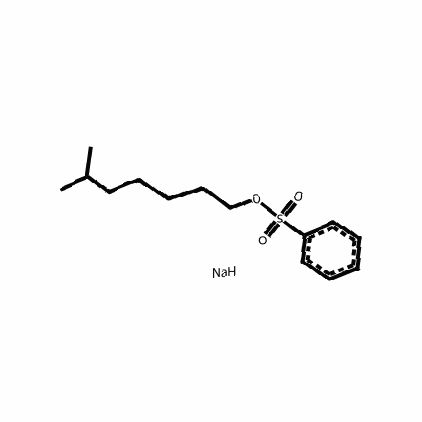 CC(C)CCCCCOS(=O)(=O)c1ccccc1.[NaH]